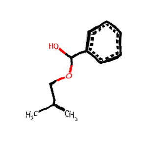 CC(C)COC(O)c1ccccc1